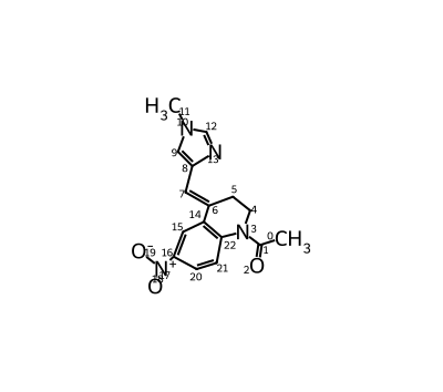 CC(=O)N1CC/C(=C\c2cn(C)cn2)c2cc([N+](=O)[O-])ccc21